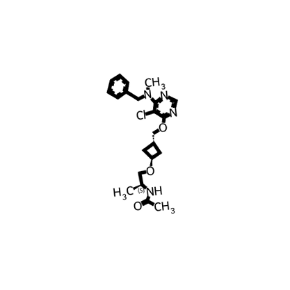 CC(=O)N[C@@H](C)CO[C@H]1C[C@H](COc2ncnc(N(C)Cc3ccccc3)c2Cl)C1